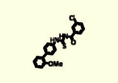 COc1ccccc1-c1ccc(NC(=S)NC(=O)c2cccc(Cl)c2)cc1